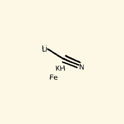 [Fe].[KH].[Li][C]#N